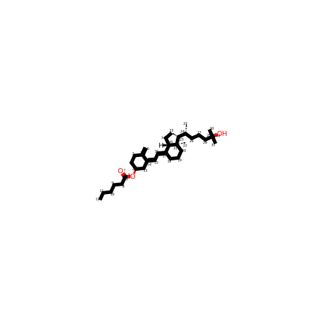 C=C1CC[C@H](OC(=O)CCCCC)C/C1=C/C=C1\CCC[C@]2(C)[C@@H]([C@H](C)CCCC(C)(C)O)CC[C@@H]12